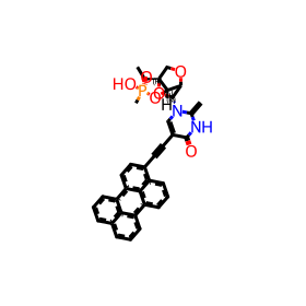 C=C1NC(=O)C(C#Cc2ccc3c4cccc5cccc(c6cccc2c63)c54)=CN1[C@@H]1O[C@]2(CC)COC1[C@@H]2OP(C)(=O)O